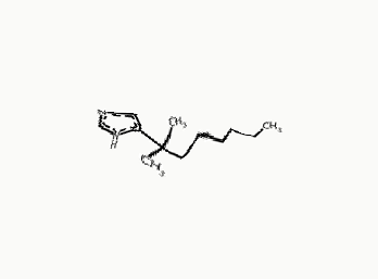 CCCCCCC(C)(C)c1cnc[nH]1